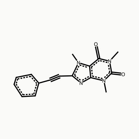 Cn1c(=O)c2c(nc(C#Cc3ccccc3)n2C)n(C)c1=O